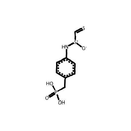 O=P(O)(O)Cc1ccc(N[S+]([O-])C=S)cc1